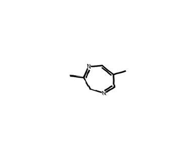 CC1=CN=C(C)CN=C1